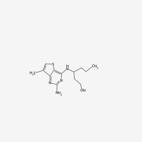 CCCC(CCO)Nc1nc(N)nc2c(C)csc12